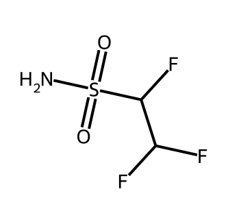 NS(=O)(=O)C(F)C(F)F